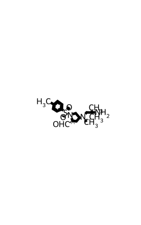 Cc1ccc(S(=O)(=O)N2CC(N(C)CC(C)(C)N)C[C@@H]2C=O)cc1